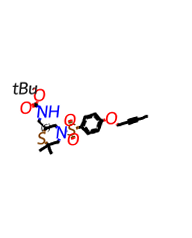 CC#CCOc1ccc(S(=O)(=O)N2C[C@H](CNC(=O)OC(C)(C)C)SC(C)(C)C2)cc1